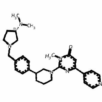 CN(C)[C@H]1CCN(Cc2ccc(C3CCCN(c4nc(-c5ccncc5)cc(=O)n4C)C3)cc2)C1